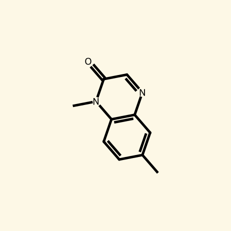 Cc1ccc2c(c1)ncc(=O)n2C